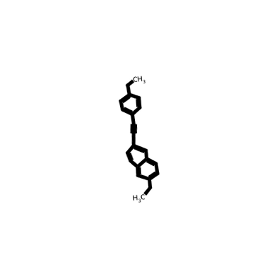 CCc1ccc(C#Cc2ccc3cc(CC)ccc3c2)cc1